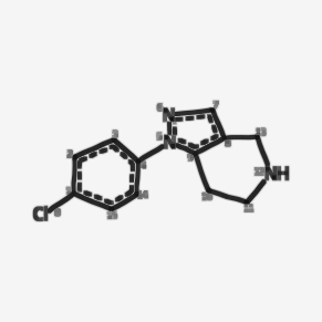 Clc1ccc(-n2ncc3c2CCNC3)cc1